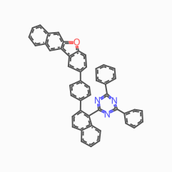 c1ccc(-c2nc(-c3ccccc3)nc(-c3c(-c4ccc(-c5ccc6oc7cc8ccccc8cc7c6c5)cc4)ccc4ccccc34)n2)cc1